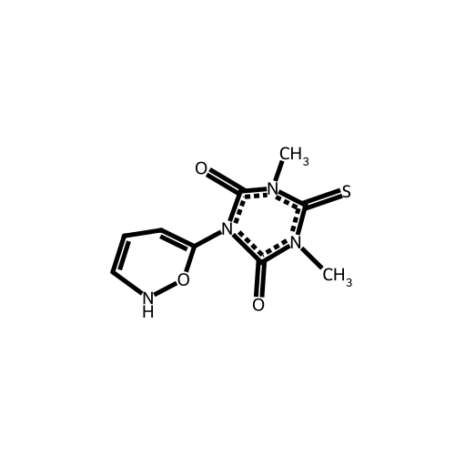 Cn1c(=S)n(C)c(=O)n(C2=CC=CNO2)c1=O